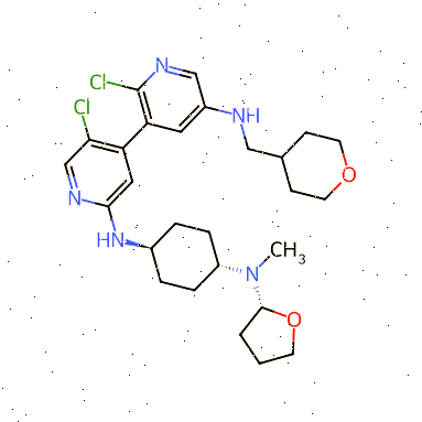 CN([C@H]1CC[C@H](Nc2cc(-c3cc(NCC4CCOCC4)cnc3Cl)c(Cl)cn2)CC1)[C@H]1CCCO1